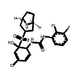 O=C(Nc1cccc(F)c1Cl)NC1C=CC(Cl)=CC1(O)S(=O)(=O)C1C[C@H]2CC[C@@H](C1)N2